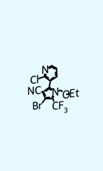 CCOCn1c(-c2cccnc2Cl)c(C#N)c(Br)c1C(F)(F)F